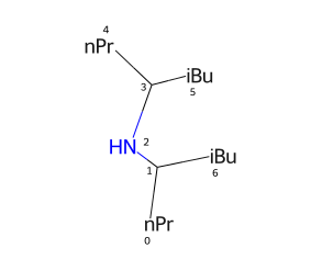 CCCC(NC(CCC)C(C)CC)C(C)CC